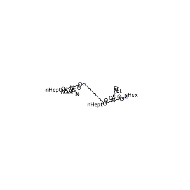 CCCCCC/C=C\COC(=O)CCCN(CCCC(=O)OC(CCCCCCC)CCCCCCCCCCCCCC/C=C\COC(=O)CCCN(CCCC(=O)OC(CCCCCCC)CCCCCCCC)C(=O)SCCN(C)C)C(=O)SCCCN(CC)CC